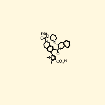 Cc1c(C(=O)O)cc(-c2cc3c(cc2C(=O)N2Cc4ccccc4C[C@H]2CN2CCCCC2)CN(C(=O)OC(C)(C)C)CC3)n1C